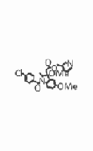 COc1ccc2c(c1)C(CC(=O)OCc1cccnc1)(OC)C(C)N2C(=O)c1ccc(Cl)cc1